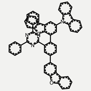 c1ccc(-c2nc(-c3ccccc3)nc(-c3cc(-c4ccc5oc6ccccc6c5c4)ccc3-c3cc(-n4c5ccccc5c5ccccc54)cc4c3oc3ccccc34)n2)cc1